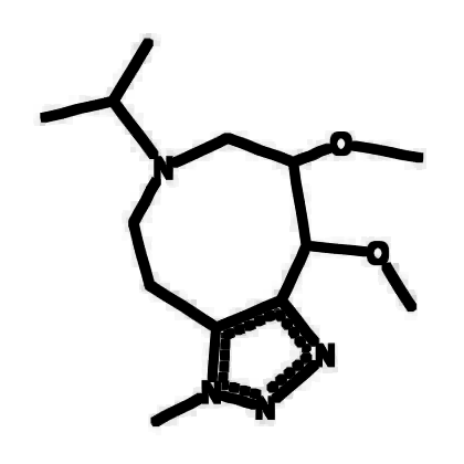 COC1CN(C(C)C)CCc2c(nnn2C)C1OC